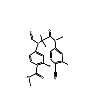 CNC(=O)c1ccc(N(C=S)C(C)(C)C(=O)N(C)c2cnc(C#N)c(C)c2)cc1F